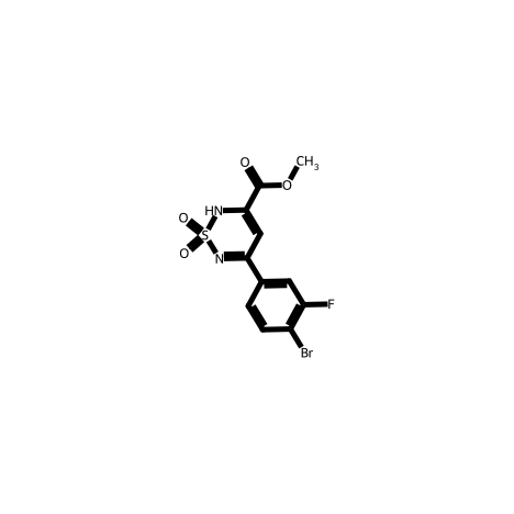 COC(=O)C1=CC(c2ccc(Br)c(F)c2)=NS(=O)(=O)N1